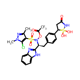 Cc1nn(C)c(Cl)c1S(=O)(=O)N(OC(=O)C(F)(F)F)[C@@H](Cc1ccc(C2CC(=O)NS2(O)O)cc1)c1nc2ccccc2[nH]1